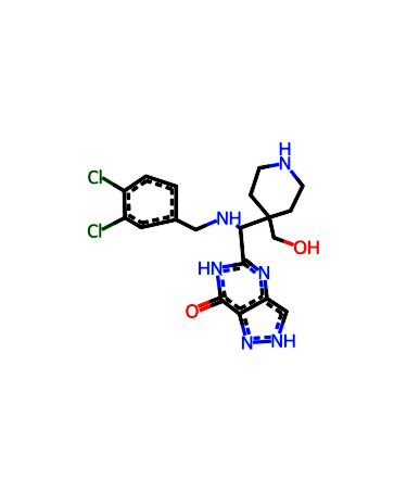 O=c1[nH]c(C(NCc2ccc(Cl)c(Cl)c2)C2(CO)CCNCC2)nc2c[nH]nc12